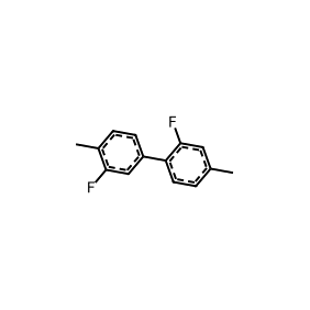 Cc1ccc(-c2ccc(C)c(F)c2)c(F)c1